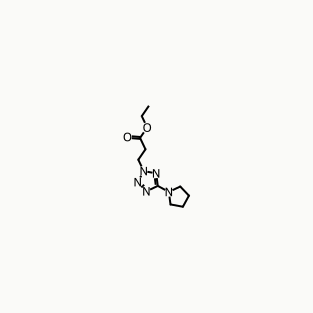 CCOC(=O)CCn1nnc(N2CCCC2)n1